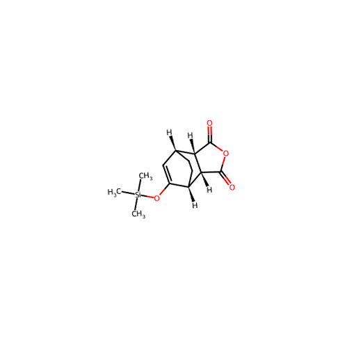 C[Si](C)(C)OC1=C[C@H]2CC[C@@H]1[C@H]1C(=O)OC(=O)[C@H]12